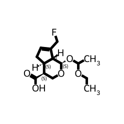 CCOC(C)O[C@@H]1OC[C@@H](C(=O)O)[C@H]2CC=C(CF)[C@H]12